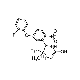 CC(C)(C)C(NC(=O)O)c1cc(Oc2ccccc2F)ccc1[N+](=O)[O-]